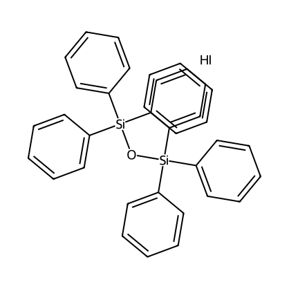 I.c1ccc([Si](O[Si](c2ccccc2)(c2ccccc2)c2ccccc2)(c2ccccc2)c2ccccc2)cc1